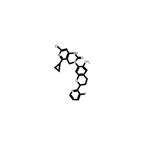 Cc1cc2c(cc1N1Cc3c(cc(Cl)nc3C3CC3)NC1=O)OC(c1ncccc1F)CC2